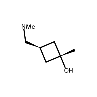 CNC[C@H]1C[C@](C)(O)C1